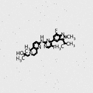 CC(C)c1c2cc(-c3nc(Nc4ccc5c(n4)CCN(CC(C)(C)O)C5)ncc3F)cc(F)c2nn1C